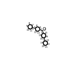 O=C(c1ccc(-c2ccccc2)cc1)c1ccc(-c2ccccc2)cc1